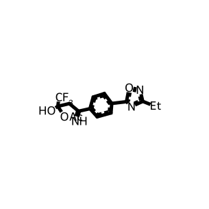 CCc1noc(-c2ccc(C(=N)CC(O)(OC(C)=O)C(F)(F)F)cc2)n1